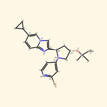 CC(C)(C)[Si](C)(C)O[C@H]1C[C@H](c2cn3cc(C4CC4)ccc3n2)N(c2ccnc(Br)c2)C1